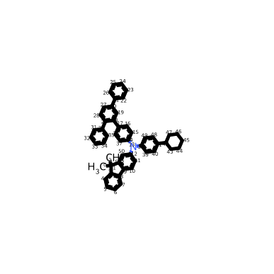 CC1(C)c2ccccc2-c2ccc(N(c3ccc(-c4cc(-c5ccccc5)ccc4-c4ccccc4)cc3)c3ccc(C4CCCCC4)cc3)cc21